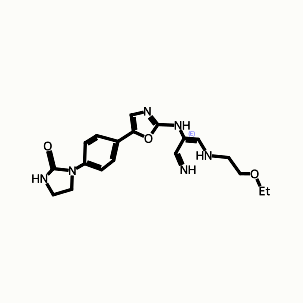 CCOCCN/C=C(\C=N)Nc1ncc(-c2ccc(N3CCNC3=O)cc2)o1